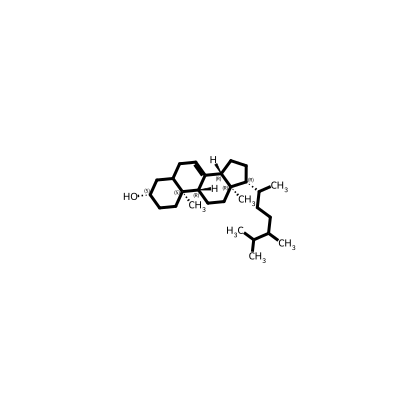 CC(C)C(C)CCC(C)[C@H]1CC[C@H]2C3=CCC4C[C@@H](O)CC[C@]4(C)[C@H]3CC[C@]12C